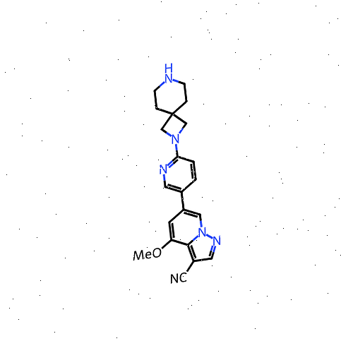 COc1cc(-c2ccc(N3CC4(CCNCC4)C3)nc2)cn2ncc(C#N)c12